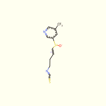 [O-][S+](/C=C/CCN=C=S)c1cncc(C(F)(F)F)c1